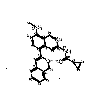 CNc1ncc(C2=Cc3ccccc3CO2)c2cc(NC(=O)C3CC3)ncc12